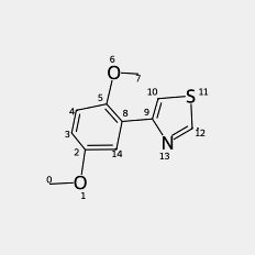 COc1ccc(OC)c(-c2cs[c]n2)c1